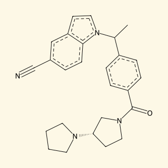 CC(c1ccc(C(=O)N2CC[C@H](N3CCCC3)C2)cc1)n1ccc2cc(C#N)ccc21